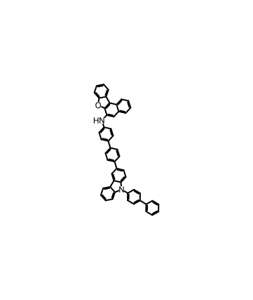 c1ccc(-c2ccc(-n3c4ccccc4c4cc(-c5ccc(-c6ccc(Nc7cc8ccccc8c8c7oc7ccccc78)cc6)cc5)ccc43)cc2)cc1